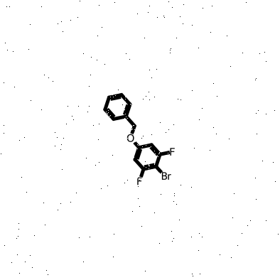 Fc1cc(OCc2ccccc2)cc(F)c1Br